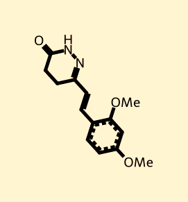 COc1ccc(C=CC2=NNC(=O)CC2)c(OC)c1